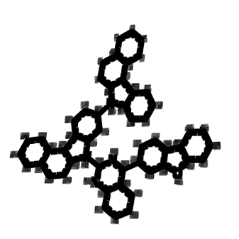 c1ccc2c(c1)ccc1c2c2ccccc2n1-c1ccc2c3c4ccccc4ccc3n(-c3nc(-c4ccc5c(c4)oc4ccccc45)c4ccccc4n3)c2c1